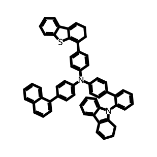 C1=Cc2c(n(-c3ccccc3-c3ccc(N(c4ccc(C5=c6sc7ccccc7c6=CCC5)cc4)c4ccc(-c5cccc6ccccc56)cc4)cc3)c3ccccc23)CC1